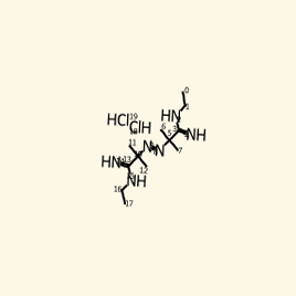 CCNC(=N)C(C)(C)N=NC(C)(C)C(=N)NCC.Cl.Cl